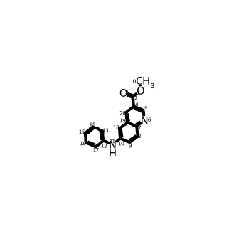 COC(=O)c1cnc2ccc(Nc3ccccc3)cc2c1